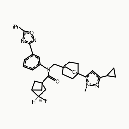 CC(C)c1nc(-c2cccc(N(CC34CCC(c5cc(C6CC6)nn5C)(CC3)CC4)C(=O)C34CC(C3)[C@H](F)C4)c2)no1